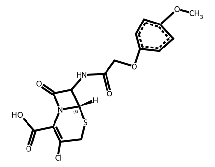 COc1ccc(OCC(=O)NC2C(=O)N3C(C(=O)O)=C(Cl)CS[C@@H]23)cc1